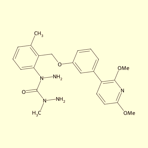 COc1ccc(-c2cccc(OCc3c(C)cccc3N(N)C(=O)N(C)N)c2)c(OC)n1